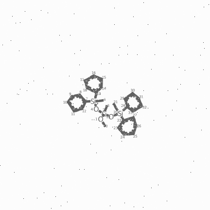 CO[Si](C)(O[Si](C)(c1ccccc1)c1ccccc1)O[Si](C)(c1ccccc1)c1ccccc1